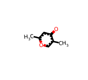 Cc1cc(=O)c(C)co1